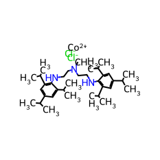 CC(C)c1cc(C(C)C)c(NCCN(C)CCNc2c(C(C)C)cc(C(C)C)cc2C(C)C)c(C(C)C)c1.[Cl-].[Cl-].[Co+2]